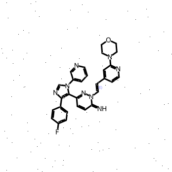 N=c1ccc(-c2c(-c3ccc(F)cc3)ncn2-c2cccnc2)nn1/C=C/c1ccnc(N2CCOCC2)c1